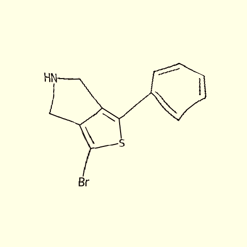 Brc1sc(-c2ccccc2)c2c1CNC2